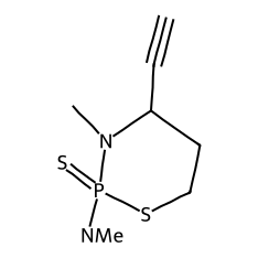 C#CC1CCSP(=S)(NC)N1C